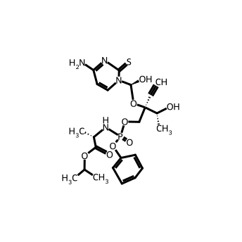 C#C[C@](COP(=O)(N[C@@H](C)C(=O)OC(C)C)Oc1ccccc1)(O[C@H](O)n1ccc(N)nc1=S)[C@@H](C)O